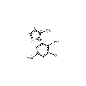 COc1ccc(OC)c(Cl)c1.Cc1ncn[nH]1